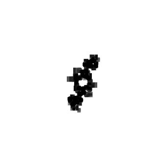 Nc1ncnc2c1ncn2[C@@H]1O[C@@H]2OCP(=O)(O)OC3C(O)[C@H](n4cnc5c(N)ncnc54)O[C@@H]3COP(=O)(S)OC2C1O